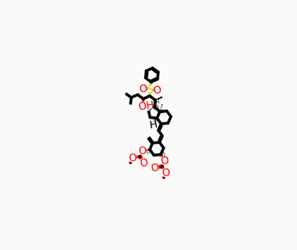 C=C1C(=CC=C2CCC[C@]3(C)[C@@H]([C@H](C)C(C(O)CC(C)C)S(=O)(=O)c4ccccc4)CC[C@@H]23)C[C@@H](OC(=O)OC)C[C@@H]1OC(=O)OC